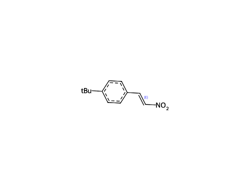 CC(C)(C)c1ccc(/C=C/[N+](=O)[O-])cc1